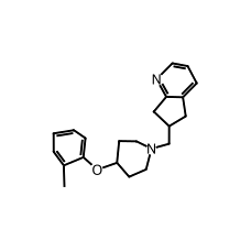 Cc1ccccc1OC1CCN(CC2Cc3cccnc3C2)CC1